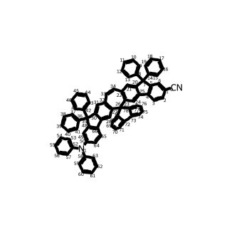 N#Cc1ccc2c(c1)C(c1ccccc1)(c1ccccc1)c1cc3c(cc1-2)C1(c2cc4c(cc2C=C3)C(c2ccccc2)(c2ccccc2)c2cc(N(c3ccccc3)c3ccccc3)ccc2-4)c2ccccc2-c2ccccc21